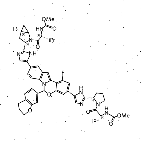 COC(=O)N[C@@H](C(=O)N1CCC[C@H]1c1ncc(-c2cc(F)c3c(c2)OC(c2ccc4c(c2)OCCC4)n2c-3cc3cc(-c4cnc([C@@H]5C[C@H]6CC6N5C(=O)[C@H](NC(=O)OC)C(C)C)[nH]4)ccc32)[nH]1)C(C)C